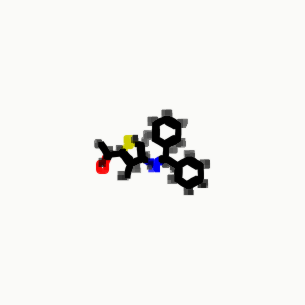 CC(=O)c1scc(N=C(c2ccccc2)c2ccccc2)c1C